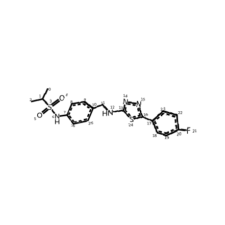 CC(C)S(=O)(=O)Nc1ccc(CNc2nnc(-c3ccc(F)cc3)s2)cc1